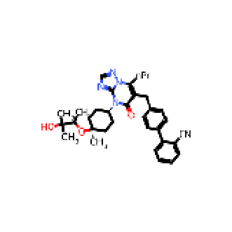 CCCc1c(Cc2ccc(-c3ccccc3C#N)cc2)c(=O)n([C@H]2CC[C@](C)(OC(C)C(C)(C)O)CC2)c2ncnn12